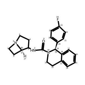 O=C(NC1CCN2CC[C@H]12)N1CCc2ccccc2[C@@H]1c1ccc(F)cc1